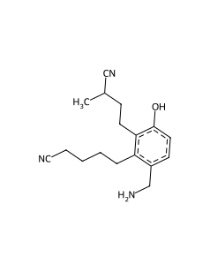 CC(C#N)CCc1c(O)ccc(CN)c1CCCCC#N